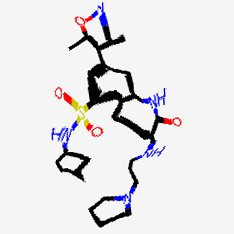 Cc1noc(C)c1-c1cc(S(=O)(=O)NC2CCCC2)c2cc(NCCN3CCCC3)c(=O)[nH]c2c1